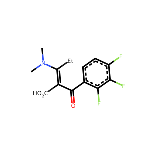 CCC(=C(C(=O)O)C(=O)c1ccc(F)c(F)c1F)N(C)C